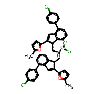 Cc1ccc(C2=Cc3c(-c4ccc(Cl)cc4)cccc3C2C[SiH](CC2C(c3ccc(C)o3)=Cc3c(-c4ccc(Cl)cc4)cccc32)[Zr]([Cl])[Cl])o1